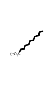 CC=CCCCCCC=CC(=O)OCC